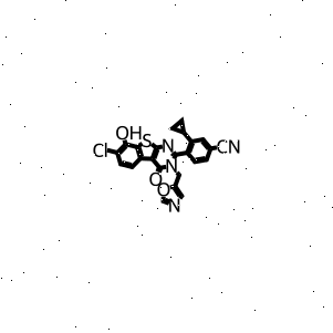 N#Cc1ccc(-c2nc3sc4c(O)c(Cl)ccc4c3c(=O)n2Cc2cnco2)c(C2CC2)c1